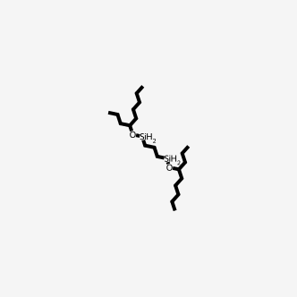 CCCCCC(CCC)O[SiH2]CCC[SiH2]OC(CCC)CCCCC